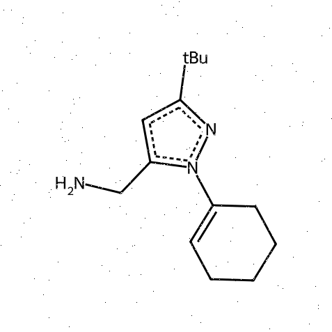 CC(C)(C)c1cc(CN)n(C2=CCCCC2)n1